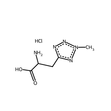 Cl.Cn1nnc(CC(N)C(=O)O)n1